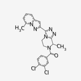 Cc1cccc2cc(-c3nnc4n3CCN(C(=O)c3ccc(Cl)c(Cl)c3)C4C)nn12